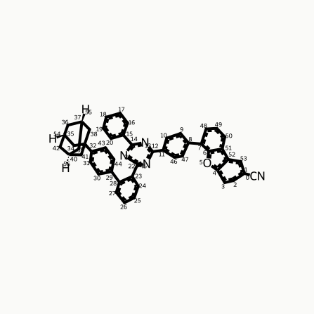 N#Cc1ccc2oc3c(-c4ccc(-c5nc(-c6ccccc6)nc(-c6ccccc6-c6ccc(C78C[C@H]9C[C@H](C7)C[C@@H](C8)C9)cc6)n5)cc4)cccc3c2c1